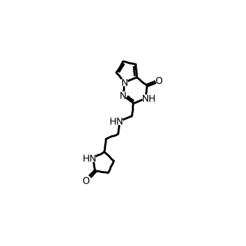 O=C1CCC(CCNCc2nn3cccc3c(=O)[nH]2)N1